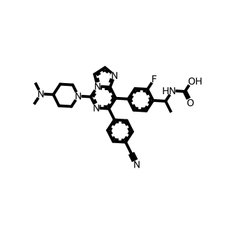 CC(NC(=O)O)c1ccc(-c2c(-c3ccc(C#N)cc3)nc(N3CCC(N(C)C)CC3)n3ccnc23)cc1F